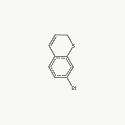 CCc1ccc2c(c1)SCC=C2